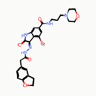 O=C(Cc1ccc2c(c1)CCO2)N/N=C1\C(=O)Nc2cc(C(=O)NCCCN3CCOCC3)cc(Br)c21